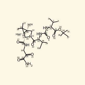 CC(C)[C@H](NC(=O)N[C@H](C(=O)N1C[C@H]2[C@@H]([C@H]1C(=O)NCC(=O)C(N)=O)C2(C)C)C(C)C)C(=O)OC(C)(C)C